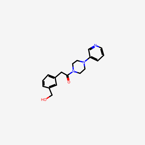 O=C(Cc1cccc(CO)c1)N1CCN(c2cccnc2)CC1